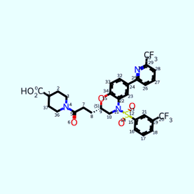 O=C(O)C1CCN(C(=O)CC[C@H]2CN(S(=O)(=O)c3cccc(C(F)(F)F)c3)c3cc(-c4cccc(C(F)(F)F)n4)ccc3O2)CC1